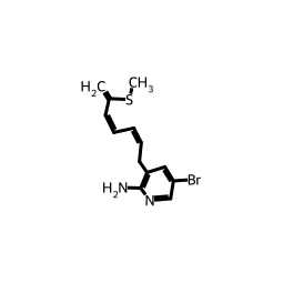 C=C(/C=C\C=C/Cc1cc(Br)cnc1N)SC